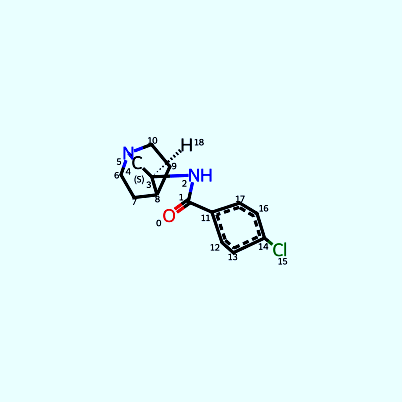 O=C(N[C@@H]1CN2CCC1CC2)c1ccc(Cl)cc1